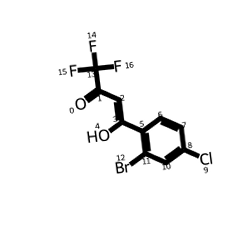 O=C(/C=C(\O)c1ccc(Cl)cc1Br)C(F)(F)F